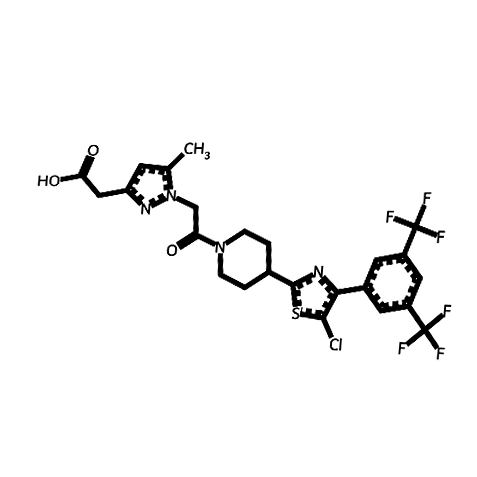 Cc1cc(CC(=O)O)nn1CC(=O)N1CCC(c2nc(-c3cc(C(F)(F)F)cc(C(F)(F)F)c3)c(Cl)s2)CC1